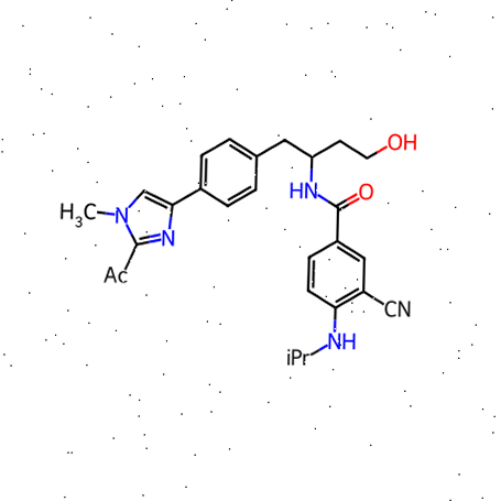 CC(=O)c1nc(-c2ccc(CC(CCO)NC(=O)c3ccc(NC(C)C)c(C#N)c3)cc2)cn1C